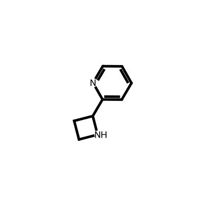 c1ccc(C2CCN2)nc1